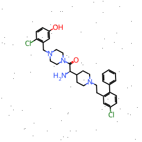 N[C@@H](C(=O)N1CCN(Cc2cc(O)ccc2Cl)CC1)C1CCN(CCc2cc(Cl)ccc2-c2ccccc2)CC1